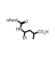 CCCCCC(=O)NC(CC)CC(C)C(=O)O